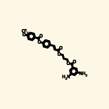 Nc1cc(N)cc(C(=O)OCCCOC(=O)C=Cc2ccc(OC(=O)c3ccc(OC(F)(F)F)cc3)cc2)c1